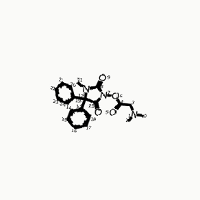 CN(C)CC(=O)ON1C(=O)N(C)C(c2ccccc2)(c2ccccc2)C1=O